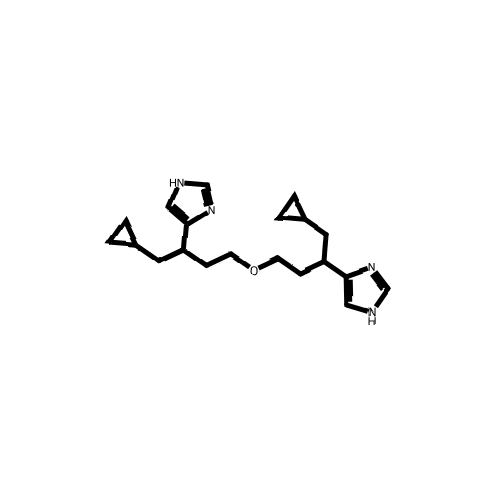 c1nc(C(CCOCCC(CC2CC2)c2c[nH]cn2)CC2CC2)c[nH]1